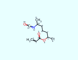 C=CC(=O)OC(CC)CCCC(C)N=C=O